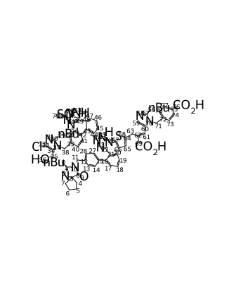 CCCCC1=NC2(CCCC2)C(=O)N1Cc1ccc(-c2ccccc2-c2nnn[nH]2)cc1.CCCCc1nc(Cl)c(CO)n1Cc1ccc(-c2ccccc2-c2nnn[nH]2)cc1.CCCCc1ncc(/C=C(\Cc2cccs2)C(=O)O)n1Cc1ccc(C(=O)O)cc1.CS(=O)(=O)O